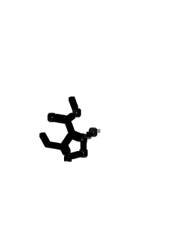 CCc1no[n+]([O-])c1C(=O)OC